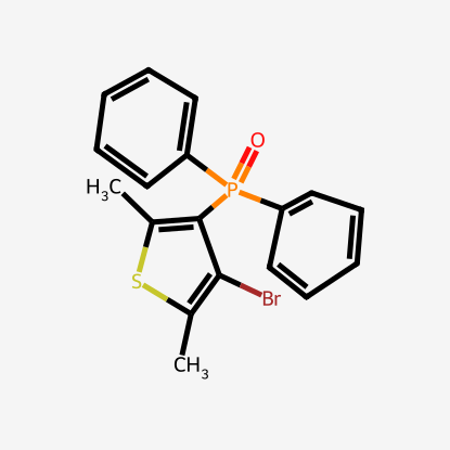 Cc1sc(C)c(P(=O)(c2ccccc2)c2ccccc2)c1Br